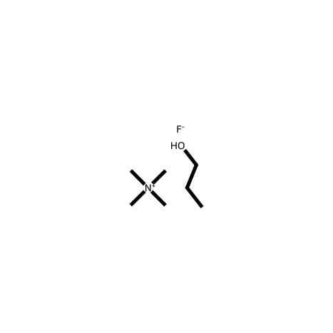 CCCO.C[N+](C)(C)C.[F-]